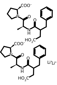 C[C@H](NC(=O)C(CC(=O)O)Cc1ccccc1)C(=O)N1CCC[C@H]1C(=O)[O-].C[C@H](NC(=O)C(CC(=O)O)Cc1ccccc1)C(=O)N1CCC[C@H]1C(=O)[O-].[Li+].[Li+]